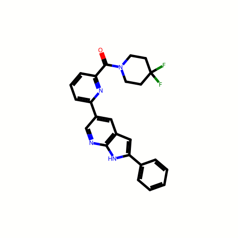 O=C(c1cccc(-c2cnc3[nH]c(-c4ccccc4)cc3c2)n1)N1CCC(F)(F)CC1